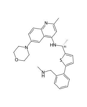 CNCc1ccccc1-c1ccc([C@@H](C)Nc2cc(C)nc3ccc(N4CCOCC4)cc23)s1